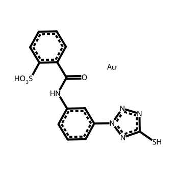 O=C(Nc1cccc(-n2nnc(S)n2)c1)c1ccccc1S(=O)(=O)O.[Au]